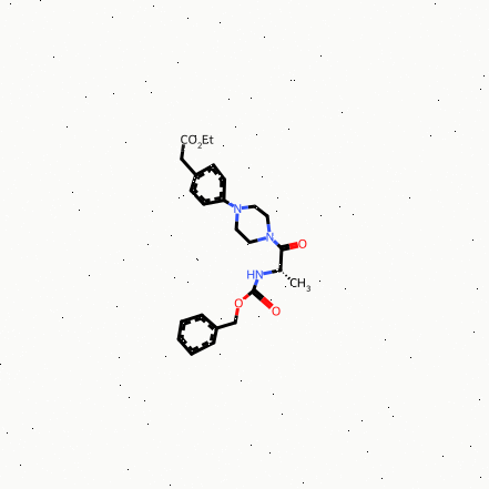 CCOC(=O)Cc1ccc(N2CCN(C(=O)[C@H](C)NC(=O)OCc3ccccc3)CC2)cc1